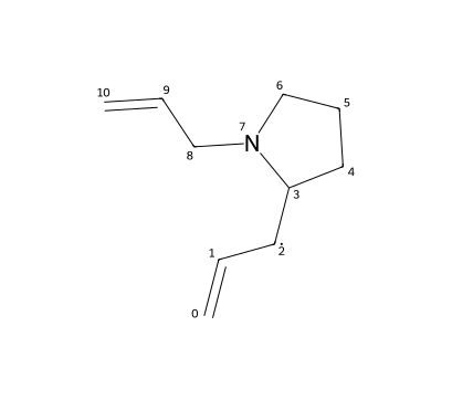 C=C[CH]C1CCCN1CC=C